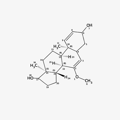 COC1=CC2CC(O)C=C[C@]2(C)[C@@H]2CC[C@]3(C)C(O)CC[C@H]3[C@H]12